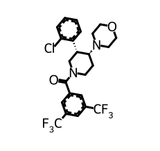 O=C(c1cc(C(F)(F)F)cc(C(F)(F)F)c1)N1CC[C@@H](N2CCOCC2)[C@@H](c2ccccc2Cl)C1